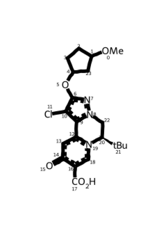 COC1CCC(Oc2nn3c(c2Cl)-c2cc(=O)c(C(=O)O)cn2[C@H](C(C)(C)C)C3)C1